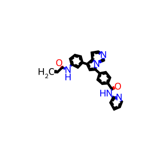 C=CC(=O)Nc1cccc(-c2cc(-c3ccc(C(=O)Nc4ccccn4)cc3)n3cnccc23)c1